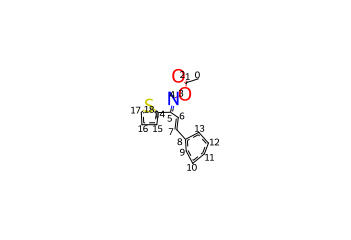 CC(=O)O/N=C(\C=C\c1ccccc1)c1cccs1